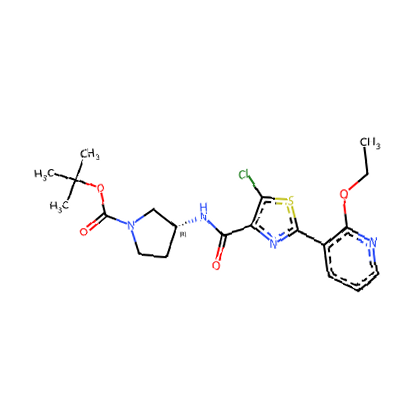 CCOc1ncccc1-c1nc(C(=O)N[C@@H]2CCN(C(=O)OC(C)(C)C)C2)c(Cl)s1